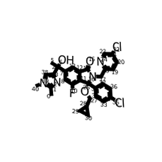 Cc1nc(C(C)(O)c2cc(F)c3c(c2)C(=O)N(Cc2ccc(Cl)cn2)[C@@]3(OCC2CC2)c2ccc(Cl)cc2)cn1C